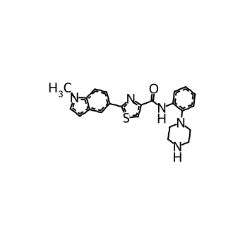 Cn1ccc2cc(-c3nc(C(=O)Nc4ccccc4N4CCNCC4)cs3)ccc21